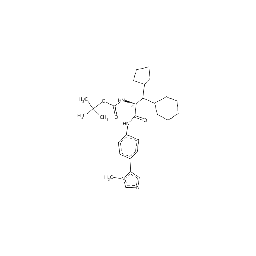 Cn1cncc1-c1ccc(NC(=O)[C@@H](NC(=O)OC(C)(C)C)C(C2CCCCC2)C2CCCC2)cc1